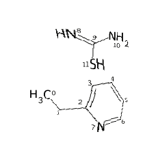 CCc1ccccn1.N=C(N)S